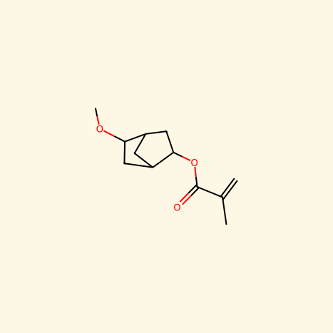 C=C(C)C(=O)OC1CC2CC1CC2OC